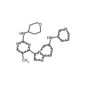 Cc1cnc(NC2CCOCC2)nc1-c1cnc2ccc(Nc3cccnc3)cn12